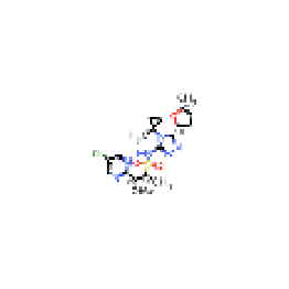 CO[C@H](c1ncc(Cl)cn1)[C@H](C)S(=O)(=O)Nc1nnc([C@H]2CC[C@@H](C)O2)n1C1(C)CC1